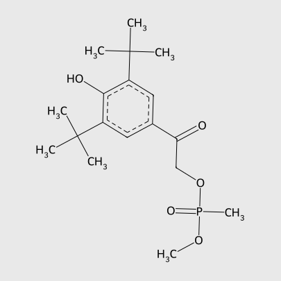 COP(C)(=O)OCC(=O)c1cc(C(C)(C)C)c(O)c(C(C)(C)C)c1